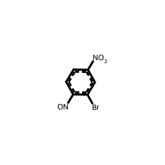 O=Nc1ccc([N+](=O)[O-])cc1Br